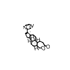 C[C@]12CCC(=O)OC[C@@H]1CC[C@@H]1[C@@H]2CC[C@]2(C)C(c3cnccn3)=CC[C@@H]12